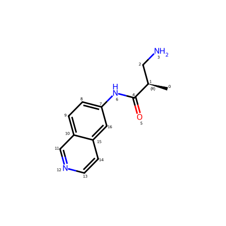 C[C@H](CN)C(=O)Nc1ccc2cnccc2c1